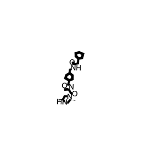 C[C@@H]1CN[C@@H](C)CN1C(=O)c1coc(-c2ccc(CNC(=O)Cc3ccccc3)cc2)n1